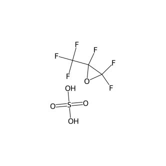 FC(F)(F)C1(F)OC1(F)F.O=S(=O)(O)O